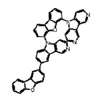 c1ccc2c(c1)oc1ccc(-c3ccc4c(c3)c3cnccc3n4-c3cccc4c3oc3c(-n5c6ccncc6c6cnccc65)cccc34)cc12